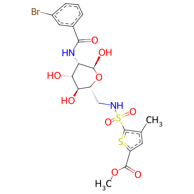 COC(=O)c1cc(C)c(S(=O)(=O)NC[C@H]2O[C@H](O)[C@@H](NC(=O)c3cccc(Br)c3)[C@@H](O)[C@@H]2O)s1